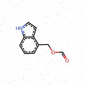 O=COCc1cccc2[nH]ccc12